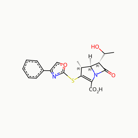 CC(O)[C@@H]1C(=O)N2C(C(=O)O)=C(Sc3nc(-c4ccccc4)co3)[C@H](C)[C@@H]12